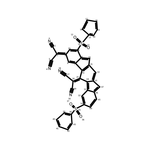 N#CC(C#N)=c1cc2c(c(S(=O)(=O)c3ccccc3)c1)=Cc1cc3c(c(=C(C#N)C#N)c1-2)=c1cc(S(=O)(=O)c2ccccc2)ccc1=C3